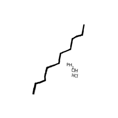 CCCCCCCCCC.Cl.Cl.P